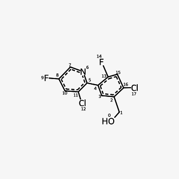 OCc1cc(-c2ncc(F)cc2Cl)c(F)cc1Cl